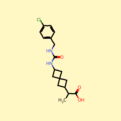 CC(C(=O)O)C1CC2(CC(NC(=O)NCc3ccc(Cl)cc3)C2)C1